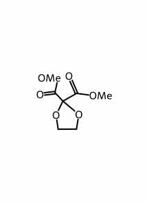 COC(=O)C1(C(=O)OC)OCCO1